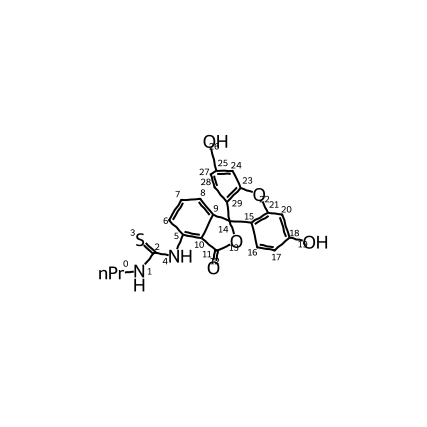 [CH2]CCNC(=S)Nc1cccc2c1C(=O)OC21c2ccc(O)cc2Oc2cc(O)ccc21